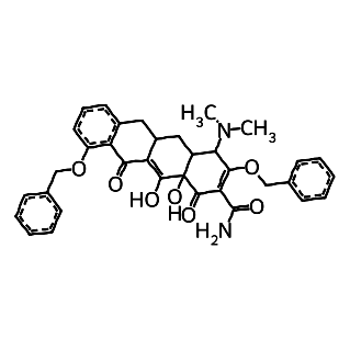 CN(C)C1C(OCc2ccccc2)=C(C(N)=O)C(=O)C2(O)C(O)=C3C(=O)c4c(cccc4OCc4ccccc4)CC3CC12